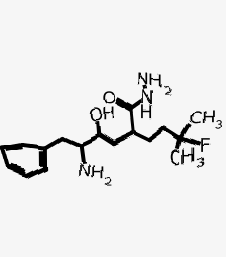 CC(C)(F)CCC(CC(O)C(N)Cc1ccccc1)C(=O)NN